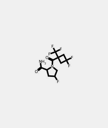 NC(=O)C1CC(F)CN1C(=O)C1(C(F)(F)F)CC(F)(F)C1